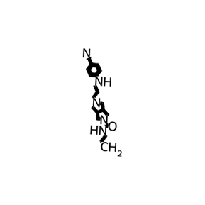 C=CCNC(=O)N1CC2CN(CCCNc3ccc(C#N)cc3)CC2C1